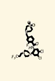 O=C(Nc1cc(Cl)c(Cl)cc1N1CCN(CCC(F)(F)F)CC1)c1ccc(CN2CCS(=O)(=O)CC2)cc1F